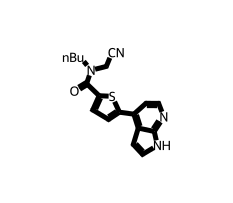 CCCCN(CC#N)C(=O)c1ccc(-c2ccnc3[nH]ccc23)s1